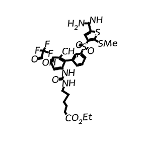 CCOC(=O)CCCCCNC(=O)Nc1cccc(C)c1-c1cccc(S(=O)(=O)c2cc(C(=N)N)sc2SC)c1.O=C(O)C(F)(F)F